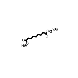 CCCCOOC(=O)CCCCCCCC(=O)OO